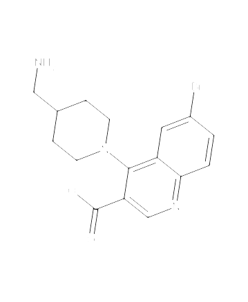 NCC1CCN(c2c(C(=O)O)cnc3ccc(Br)cc23)CC1